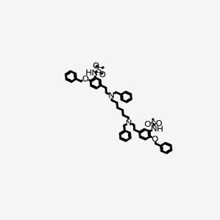 CS(=O)(=O)Nc1cc(CCN(CCCCCCN(CCc2ccc(OCc3ccccc3)c(NS(C)(=O)=O)c2)Cc2ccccc2)Cc2ccccc2)ccc1OCc1ccccc1